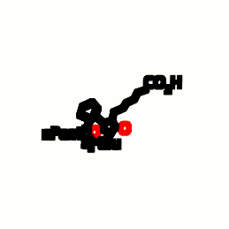 CCCCC[C@@H](O[Si](C)(C)C(C)(C)C)c1ccccc1C1CCC(=O)C1CCCCCCC(=O)O